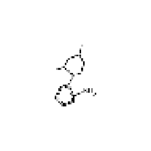 CC1CCN(c2ccccc2N)C(C)C1